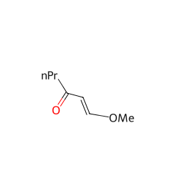 CCCC(=O)/C=C/OC